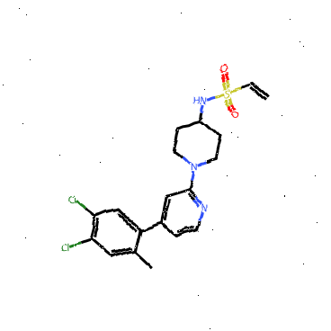 C=CS(=O)(=O)NC1CCN(c2cc(-c3cc(Cl)c(Cl)cc3C)ccn2)CC1